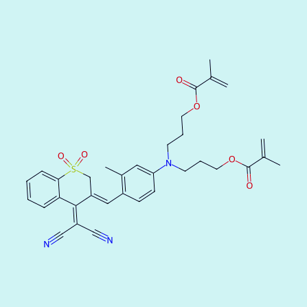 C=C(C)C(=O)OCCCN(CCCOC(=O)C(=C)C)c1ccc(/C=C2\CS(=O)(=O)c3ccccc3C2=C(C#N)C#N)c(C)c1